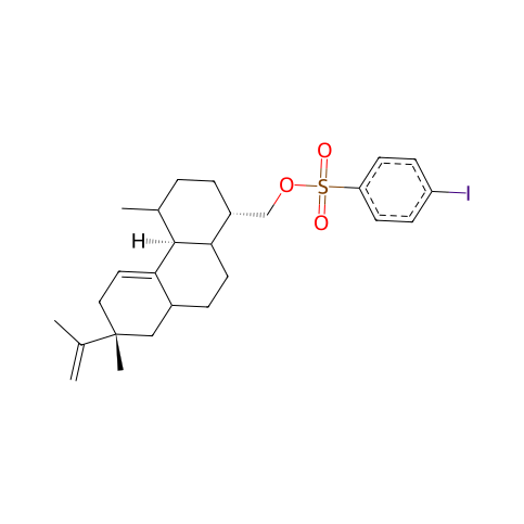 C=C(C)[C@]1(C)CC=C2C(CCC3[C@@H](COS(=O)(=O)c4ccc(I)cc4)CCC(C)[C@H]23)C1